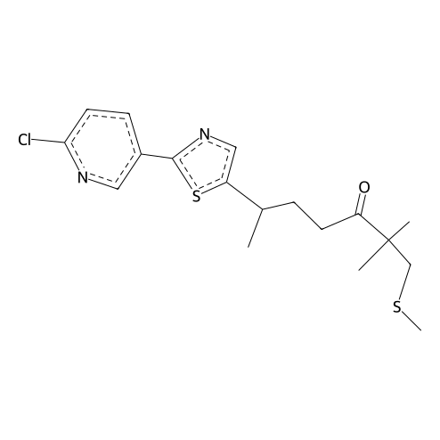 CSCC(C)(C)C(=O)CCC(C)c1cnc(-c2ccc(Cl)nc2)s1